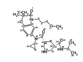 COCCCN1C(=O)C(C)(C)Oc2ccc(N(C(=O)[C@H]3CNC[C@@H](C(=O)NC(C)C)C3)C3CC3)cc21